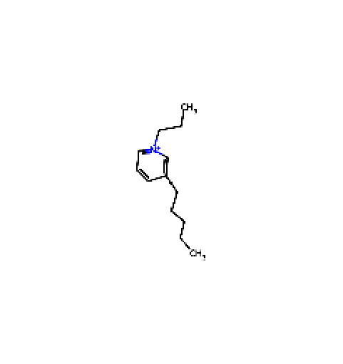 CCCCCc1ccc[n+](CCC)c1